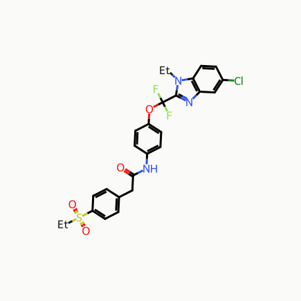 CCn1c(C(F)(F)Oc2ccc(NC(=O)Cc3ccc(S(=O)(=O)CC)cc3)cc2)nc2cc(Cl)ccc21